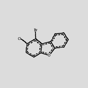 Clc1ccc2oc3ccccc3c2c1Br